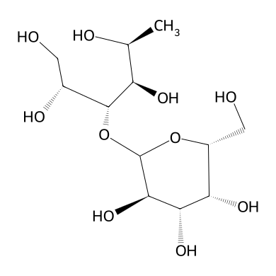 C[C@H](O)[C@@H](O)[C@H](OC1O[C@H](CO)[C@H](O)[C@H](O)[C@H]1O)[C@H](O)CO